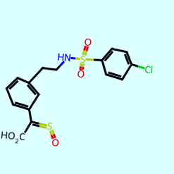 O=S=C(C(=O)O)c1cccc(CCNS(=O)(=O)c2ccc(Cl)cc2)c1